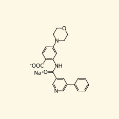 O=C(Nc1cc(N2CCOCC2)ccc1C(=O)[O-])c1cncc(-c2ccccc2)c1.[Na+]